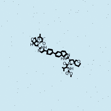 COC(=O)N[C@H](C(=O)N1C[C@]2(CCCOC2)C[C@H]1c1nc2ccc3cc(-c4ccc(-c5cnc([C@@H]6C[C@@H]7COC[C@@H]7N6C(=O)[C@@H](C)C(C)C)[nH]5)cc4)ccc3c2[nH]1)C(C)C